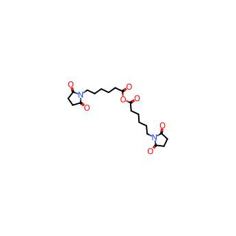 O=C(CCCCCN1C(=O)CCC1=O)OC(=O)CCCCCN1C(=O)CCC1=O